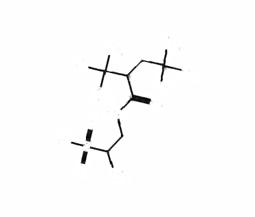 CC(CNC(=O)C(CC(C)(C)C)C(C)(C)C)S(=O)(=O)O